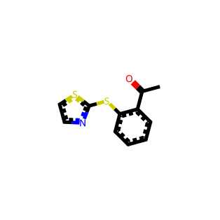 CC(=O)c1ccccc1Sc1nccs1